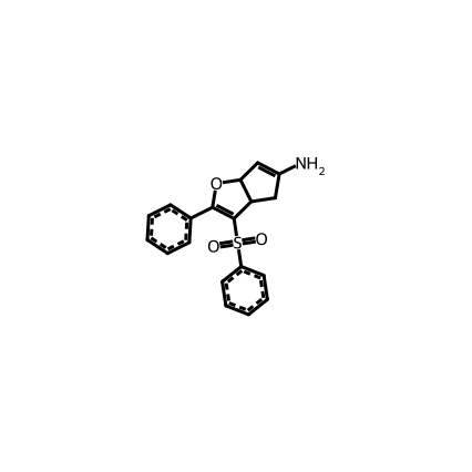 NC1=CC2OC(c3ccccc3)=C(S(=O)(=O)c3ccccc3)C2C1